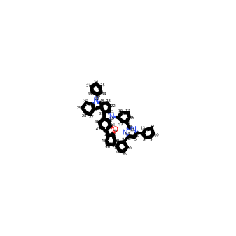 c1ccc(-c2cc(-c3ccccc3)nc(-c3cccc(-n4c5ccc6c(c7ccccc7n6-c6ccccc6)c5c5ccc6c7ccccc7oc6c54)c3)n2)cc1